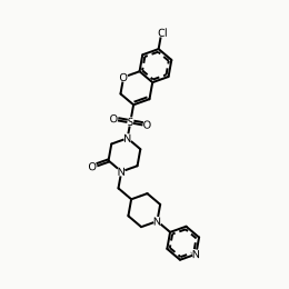 O=C1CN(S(=O)(=O)C2=Cc3ccc(Cl)cc3OC2)CCN1CC1CCN(c2ccncc2)CC1